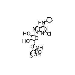 O=P(O)(O)[C@@H](C=S)OC[C@H]1O[C@@H](n2ncc3c(NC4CCCC4)nc(Cl)nc32)[C@H](O)[C@@H]1O